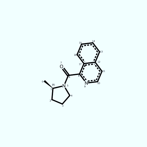 C[C@@H]1CCCN1C(=O)c1nccc2ccccc12